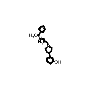 CC(c1ccccc1)n1cc(CN2CCC(c3cccc(O)c3)CC2)nn1